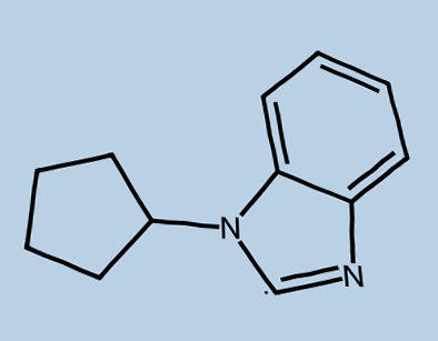 [c]1nc2ccccc2n1C1CCCC1